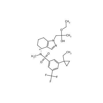 CCOC(C)(O)Cn1ncc2c1CCC[C@H]2N(C)S(=O)(=O)c1cc(C(F)(F)F)cc(C2(CC)CC2)c1